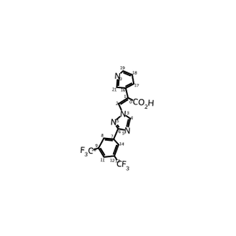 O=C(O)/C(=C\n1cnc(-c2cc(C(F)(F)F)cc(C(F)(F)F)c2)n1)c1cccnc1